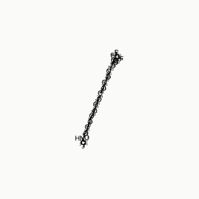 Cc1ccc(NC(=O)COCCOCCOCCOCCOCCOCCOCCOCCOCCOCCOCCOCCOCC(=O)Oc2c(F)c(F)cc(F)c2F)cc1